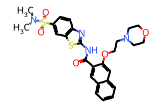 CN(C)S(=O)(=O)c1ccc2nc(NC(=O)c3cc4ccccc4cc3OCCN3CCOCC3)sc2c1